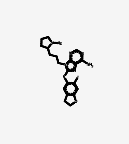 CC(=O)N1CCCC1CCCn1c(Sc2cc3c(cc2I)OCC3)nc2c(N)ncnc21